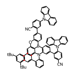 CC(C)(C)c1cc(-c2cc3c4c(c2)N(c2ccccc2-c2ccccc2)c2cc(-c5cc(C#N)ccc5-n5c6ccccc6c6ccccc65)ccc2B4c2ccc(-c4cc(-n5c6ccccc6c6ccccc65)ccc4C#N)cc2O3)cc(C(C)(C)C)c1